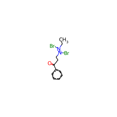 CCN(Br)N(Br)CCC(=O)c1ccccc1